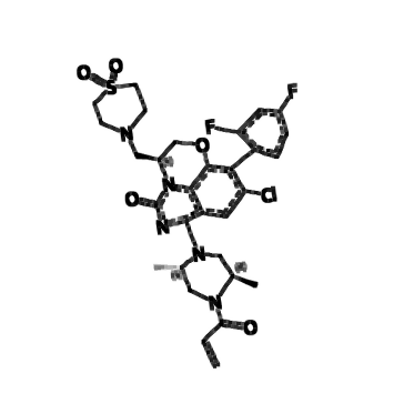 C=CC(=O)N1C[C@H](C)N(c2nc(=O)n3c4c(c(-c5ccc(F)cc5F)c(Cl)cc24)OC[C@@H]3CN2CCS(=O)(=O)CC2)C[C@H]1C